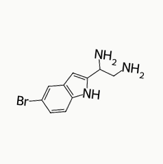 NCC(N)c1cc2cc(Br)ccc2[nH]1